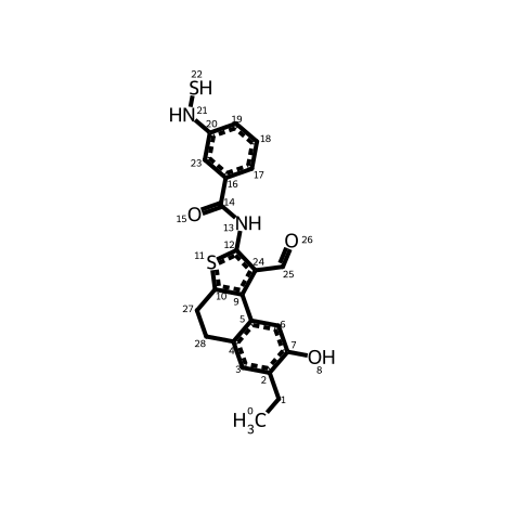 CCc1cc2c(cc1O)-c1c(sc(NC(=O)c3cccc(NS)c3)c1C=O)CC2